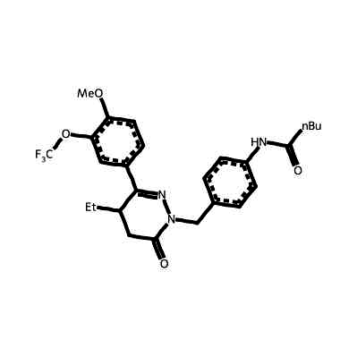 CCCCC(=O)Nc1ccc(CN2N=C(c3ccc(OC)c(OC(F)(F)F)c3)C(CC)CC2=O)cc1